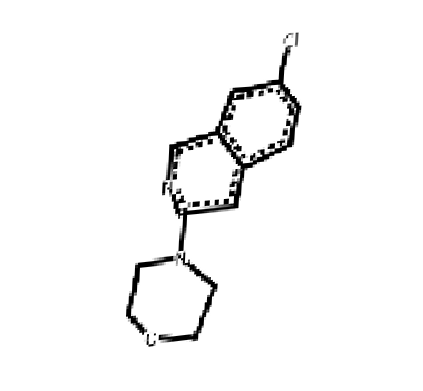 Clc1ccc2cc(N3CCOCC3)ncc2c1